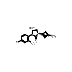 Cc1cc(Cl)ccc1N1CCN(C23CC(N)(C2)C3)C1=O.Cl